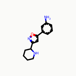 Nc1cccc(-c2cc(C3CCCCN3)no2)c1